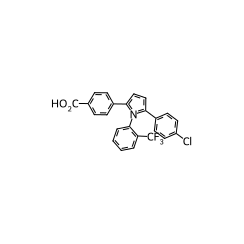 O=C(O)c1ccc(-c2ccc(-c3ccc(Cl)cc3)n2-c2ccccc2C(F)(F)F)cc1